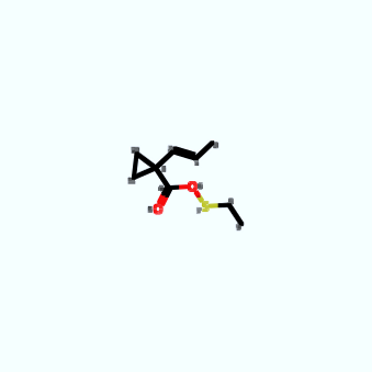 CC=CC1(C(=O)OSCC)CC1